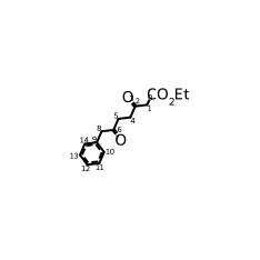 CCOC(=O)CC(=O)CCC(=O)Cc1ccccc1